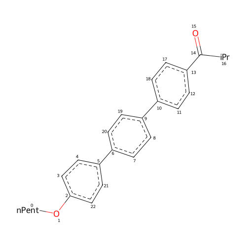 CCCCCOc1ccc(-c2ccc(-c3ccc(C(=O)C(C)C)cc3)cc2)cc1